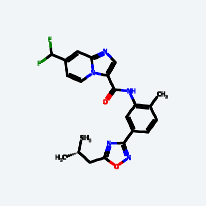 Cc1ccc(-c2noc(C[C@H](C)[SiH3])n2)cc1NC(=O)c1cnc2cc(C(F)F)ccn12